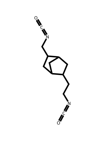 O=C=NCCC1CC2CC1CC2CN=C=O